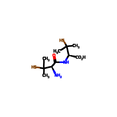 CC(C)(S)[C@H](N)C(=O)N[C@H](C(=O)O)C(C)(C)S